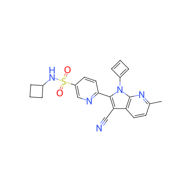 Cc1ccc2c(C#N)c(-c3ccc(S(=O)(=O)NC4CCC4)cn3)n(C3=CC=C3)c2n1